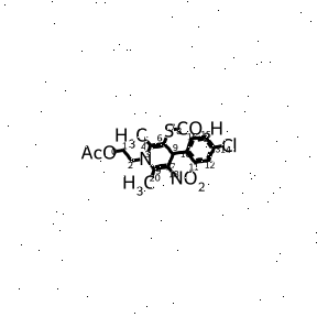 CC(=O)OCCN1C(C)=C(SC(=O)O)C(c2ccc(Cl)cc2)C([N+](=O)[O-])=C1C